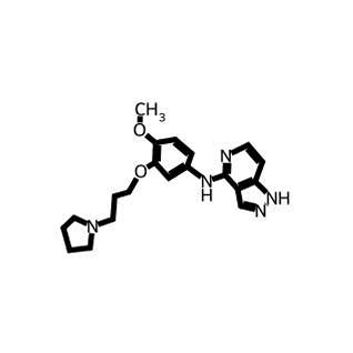 COc1ccc(Nc2nccc3[nH]ncc23)cc1OCCCN1CCCC1